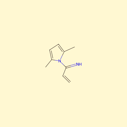 C=CC(=N)n1c(C)ccc1C